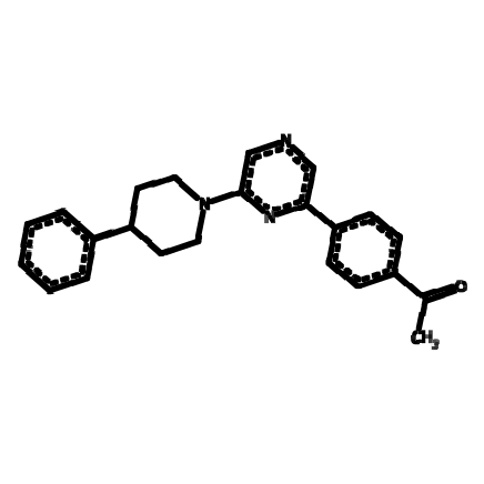 CC(=O)c1ccc(-c2cncc(N3CCC(c4ccccc4)CC3)n2)cc1